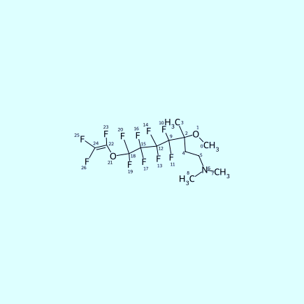 COC(C)(CCN(C)C)C(F)(F)C(F)(F)C(F)(F)C(F)(F)OC(F)=C(F)F